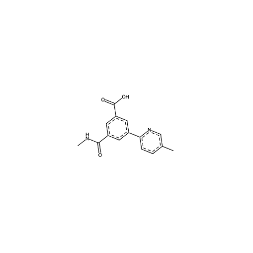 CNC(=O)c1cc(C(=O)O)cc(-c2ccc(C)cn2)c1